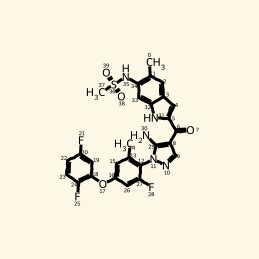 Cc1cc2cc(C(=O)c3cnn(-c4c(C)cc(Oc5cc(F)ccc5F)cc4F)c3N)[nH]c2cc1NS(C)(=O)=O